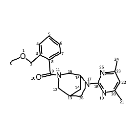 COCc1ccccc1C(=O)N1CC2CC(C1)N(c1nc(C)cc(C)n1)C2